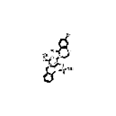 CC(C)(C)OC(=O)N1Cc2ccccc2C[C@H]1[C@@H](CN1CCOc2cc(Br)ccc2C1=C=O)O[Si](C)(C)C(C)(C)C